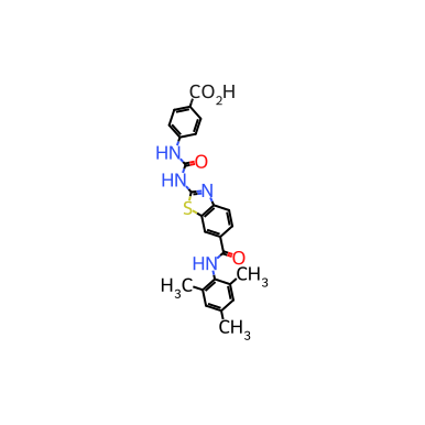 Cc1cc(C)c(NC(=O)c2ccc3nc(NC(=O)Nc4ccc(C(=O)O)cc4)sc3c2)c(C)c1